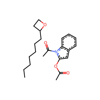 CC(=O)Oc1cc2ccccc2n1C(C)=O.CCCCCCCC1CCO1